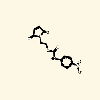 O=C(Nc1ccc([N+](=O)[O-])cc1)OCCN1C(=O)C=CC1=O